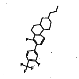 CCCC1CCC2c3ccc(-c4ccc(C(F)(F)F)c(F)c4)c(F)c3CCC2C1